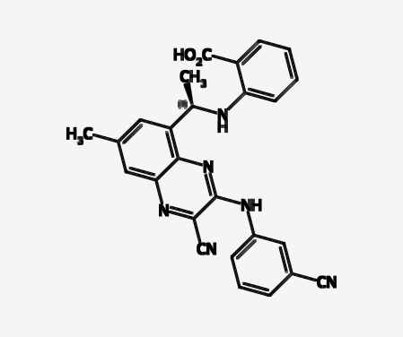 Cc1cc([C@@H](C)Nc2ccccc2C(=O)O)c2nc(Nc3cccc(C#N)c3)c(C#N)nc2c1